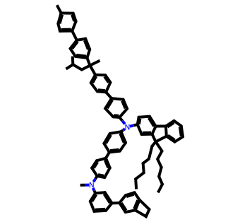 CCCCCCC1(CCCCCC)c2ccccc2-c2ccc(N(c3ccc(-c4ccc(N(C)c5cccc(-c6ccc7c(c6)CC7)c5)cc4)cc3)c3ccc(-c4ccc(C(C)(CC(C)C)c5ccc(-c6ccc(C)cc6)cc5)cc4)cc3)cc21